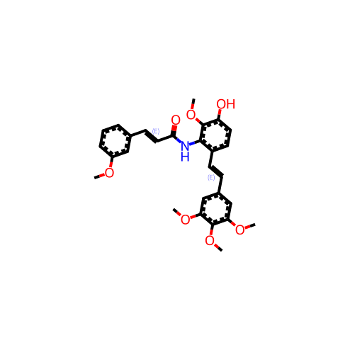 COc1cccc(/C=C/C(=O)Nc2c(/C=C/c3cc(OC)c(OC)c(OC)c3)ccc(O)c2OC)c1